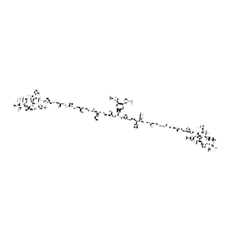 O=C(CCOCC(COCCC(=O)NCCOCCOCCOCCOC[C@@]12CO[C@@H](O1)[C@@H](NC(=O)C(F)(F)F)[C@@H](O)[C@H]2O)N1C[C@@H](O)[C@@H](O)C1)NCCOCCOCCOCCOC[C@@]12CO[C@@H](O1)[C@@H](NC(=O)C(F)(F)F)[C@@H](O)[C@H]2O